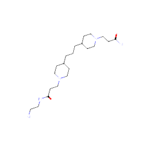 NCCNC(=O)CCN1CCC(CCCC2CCN(CCC(N)=O)CC2)CC1